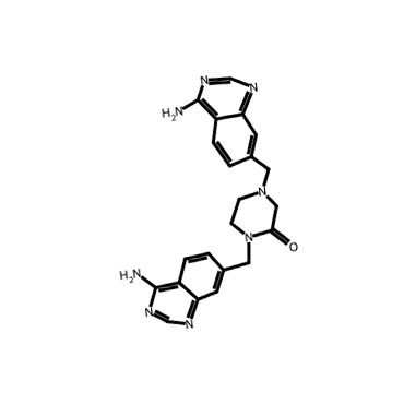 Nc1ncnc2cc(CN3CCN(Cc4ccc5c(N)ncnc5c4)C(=O)C3)ccc12